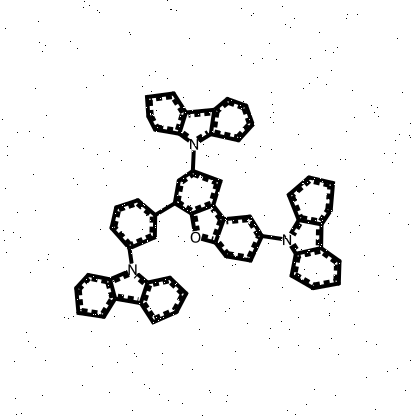 c1cc(-c2cc(-n3c4ccccc4c4ccccc43)cc3c2oc2ccc(-n4c5ccccc5c5ccccc54)cc23)cc(-n2c3ccccc3c3ccccc32)c1